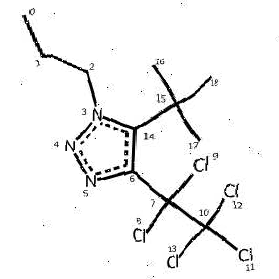 CCCn1nnc(C(Cl)(Cl)C(Cl)(Cl)Cl)c1C(C)(C)C